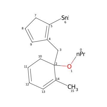 CCCOC1(CC2=[C]([Sn])CC=C2)CC=CC=C1C